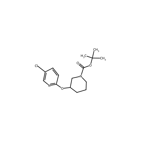 CC(C)(C)OC(=O)N1CCCC(Oc2ccc(Cl)cn2)C1